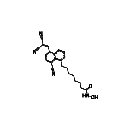 N#CC(C#N)=Cc1ccc(C#N)c2c(CCCCCCCC(=O)NO)cccc12